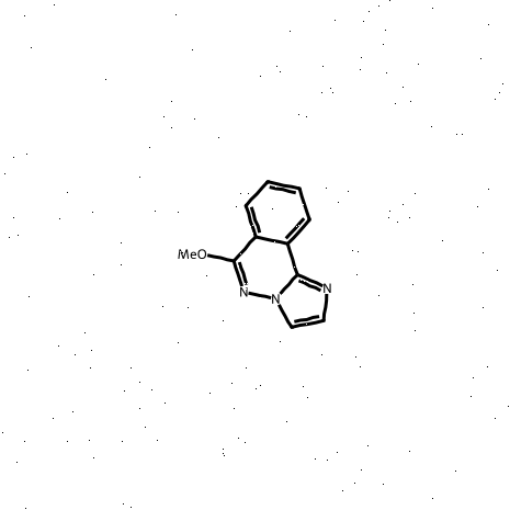 COc1nn2ccnc2c2ccccc12